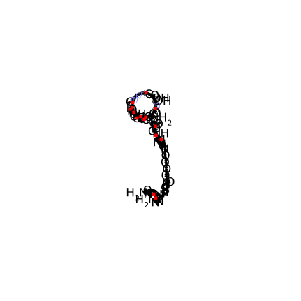 CO[C@H]1C[C@@H]2CC[C@@H](C)[C@@](O)(O2)C(=O)C(=O)N2CCCC[C@H]2C(=O)O[C@H]([C@H](N)C[C@@H]2CC[C@@H](OC(=O)NCc3cnc(N4CCN(CCOCCOCCOCCOCCC(=O)N5CCc6cc(Cn7nc(-c8ccc9oc(N)nc9c8)c8c(N)ncnc87)ccc6C5)CC4)nc3)[C@H](OC)C2)CC(=O)[C@H](C)/C=C(\C)[C@@H](O)[C@@H](O)C(=O)[C@H](C)C[C@H](C)/C=C/C=C/C=C/1C